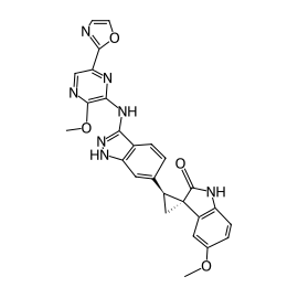 COc1ccc2c(c1)[C@]1(C[C@H]1c1ccc3c(Nc4nc(-c5ncco5)cnc4OC)n[nH]c3c1)C(=O)N2